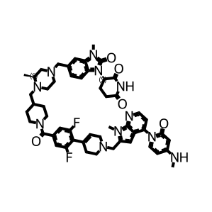 CNc1ccn(-c2ccnc3c2cc(CN2CC=C(c4c(F)cc(C(=O)N5CCC(CN6CCN(Cc7ccc8c(c7)n(C)c(=O)n8[C@H]7CCC(=O)NC7=O)C[C@@H]6C)CC5)cc4F)CC2)n3C)c(=O)c1